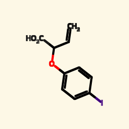 C=CC(Oc1ccc(I)cc1)C(=O)O